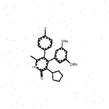 COc1cc(OC)cc(-c2c(-c3ccc(F)cc3)c(C)[nH]c(=O)c2C2CCCC2)c1